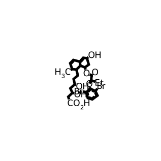 CCC(Oc1c(Br)cccc1Br)C(=O)OC1CC(O)C=C2C=CC(C)C(CCC(O)CC(O)CC(=O)O)C21